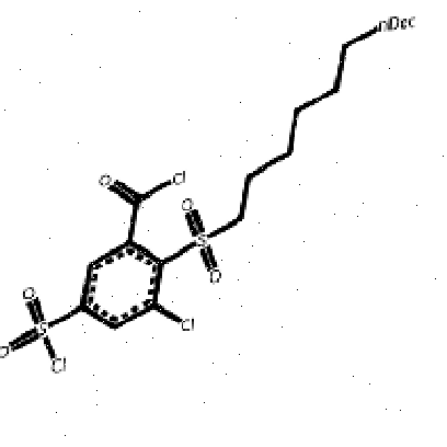 CCCCCCCCCCCCCCCCS(=O)(=O)c1c(Cl)cc(S(=O)(=O)Cl)cc1C(=O)Cl